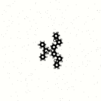 c1ccc(-c2cc(-c3ccccc3)nc(-n3c4ccc(-c5cccc6c5oc5ccccc56)cc4c4cc(-c5cccc6c5oc5ccccc56)ccc43)c2)cc1